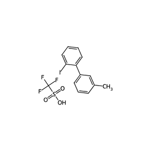 Cc1cccc(-c2ccccc2I)c1.O=S(=O)(O)C(F)(F)F